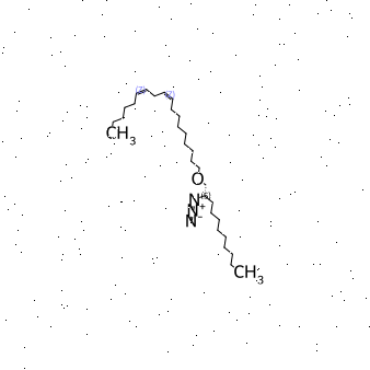 CCCCC/C=C\C/C=C\CCCCCCCCOC[C@H](CCCCCCCCC)N=[N+]=[N-]